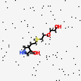 OCCOCCSCCC1CNCC1O